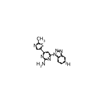 [2H]c1ccc2c(c1)nnn2-c1cc(-c2cnc(C)s2)nc(N)n1